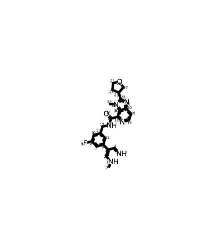 CN/C=C(\C=N)c1cc(F)cc(CNC(=O)c2nccc3nc(C4CCOC4)n(C)c23)c1